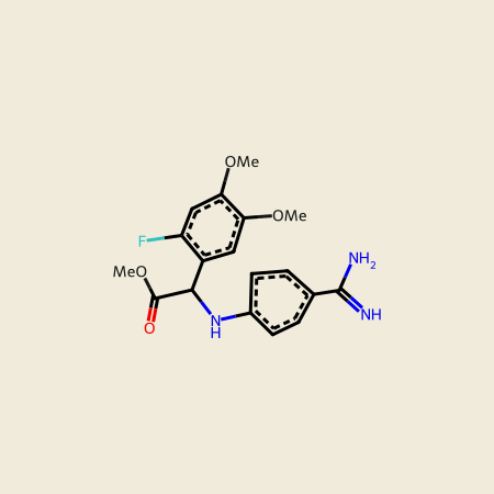 COC(=O)C(Nc1ccc(C(=N)N)cc1)c1cc(OC)c(OC)cc1F